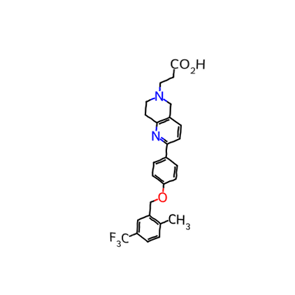 Cc1ccc(C(F)(F)F)cc1COc1ccc(-c2ccc3c(n2)CCN(CCC(=O)O)C3)cc1